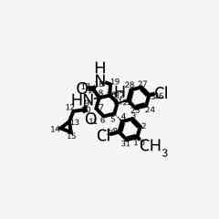 Cc1ccc([C@@H]2CC[C@@]3(NC(=O)CC4CC4)C(=O)NC[C@H]3[C@H]2c2ccc(Cl)cc2)c(Cl)c1